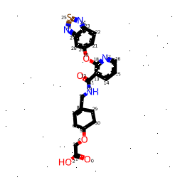 O=C(O)COC1CC=C(CNC(=O)c2cccnc2Oc2ccc3nsnc3c2)CC1